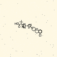 CC(C)(C)C(C(=O)O)n1nnc(-c2cnc(N3CCC4(CCc5c(Cl)cccc5O4)CC3)s2)n1